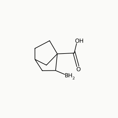 BC1CC2CCC1(C(=O)O)C2